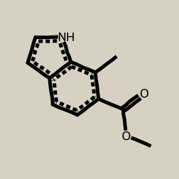 COC(=O)c1ccc2cc[nH]c2c1C